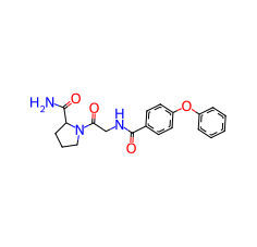 NC(=O)C1CCCN1C(=O)CNC(=O)c1ccc(Oc2ccccc2)cc1